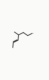 [CH2]CCC(C)C=CC